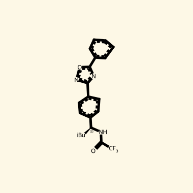 CCC(C)[C@H](NC(=O)C(F)(F)F)c1ccc(-c2noc(-c3ccccc3)n2)cc1